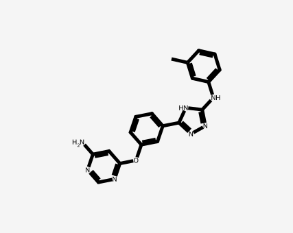 Cc1cccc(Nc2nnc(-c3cccc(Oc4cc(N)ncn4)c3)[nH]2)c1